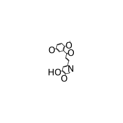 COc1ccc(OC)c(C(=O)C=Cc2cc(O)c(OC)cn2)c1